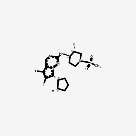 CS(=O)(=O)N1CC[C@@H](Nc2ncc3c(F)c(I)c([C@@H]4CCC[C@@H]4F)n3n2)[C@H](F)C1